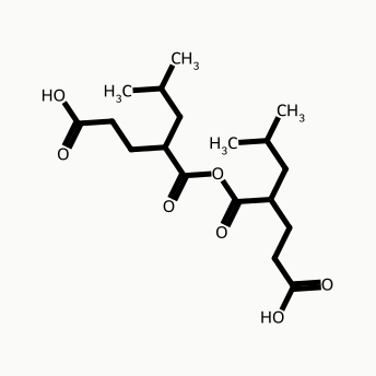 CC(C)CC(CCC(=O)O)C(=O)OC(=O)C(CCC(=O)O)CC(C)C